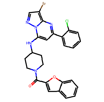 O=C(c1cc2ccccc2o1)N1CCC(Nc2cc(-c3ccccc3Cl)nc3c(Br)cnn23)CC1